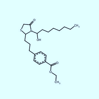 CCCCCCCC(O)N1C(=O)CSC1CCCc1ccc(C(=O)OCC)cc1